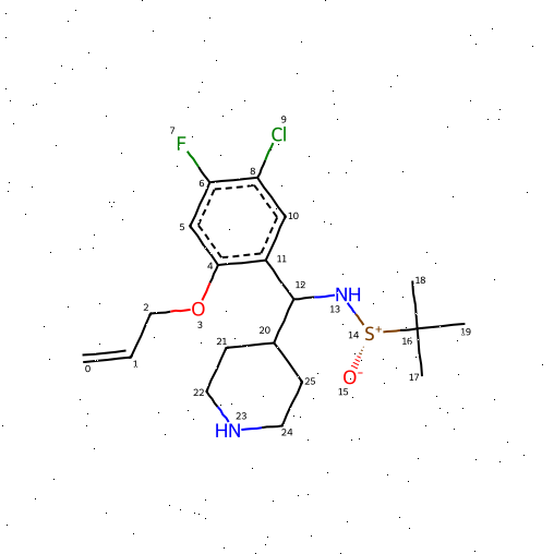 C=CCOc1cc(F)c(Cl)cc1C(N[S@@+]([O-])C(C)(C)C)C1CCNCC1